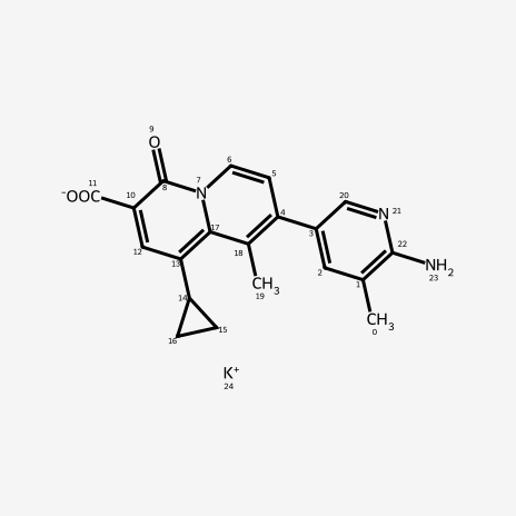 Cc1cc(-c2ccn3c(=O)c(C(=O)[O-])cc(C4CC4)c3c2C)cnc1N.[K+]